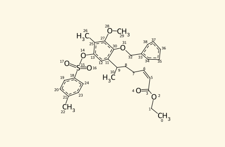 CCOC(=O)/C=C\CCC(C)c1cc(OS(=O)(=O)c2ccc(C)cc2)c(C)c(OC)c1OCc1ccccc1